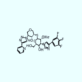 CO[C@@H]1[C@@H](n2cc(-c3cc(F)c(F)c(F)c3)nn2)[C@@H](O)[C@@H](CO)O[C@H]1S[C@@H]1COC[C@H](n2cc(-c3ccccn3)nn2)[C@H]1O